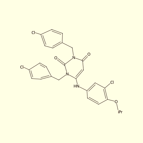 CC(C)Oc1ccc(Nc2cc(=O)n(Cc3ccc(Cl)cc3)c(=O)n2Cc2ccc(Cl)cc2)cc1Cl